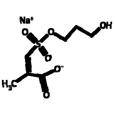 CC(=CS(=O)(=O)OCCCO)C(=O)[O-].[Na+]